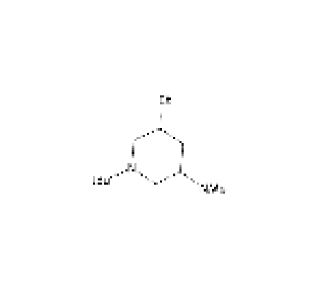 CC[C@@H]1CC(NC)CN(C(C)(C)C)C1